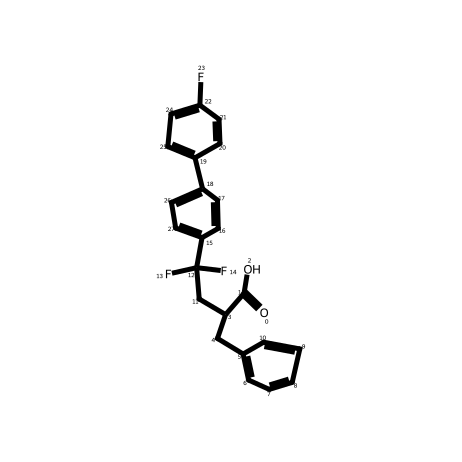 O=C(O)C(Cc1ccccc1)CC(F)(F)c1ccc(-c2ccc(F)cc2)cc1